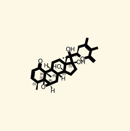 C=C1O[C@@H]([C@](C)(O)[C@]2(O)CC[C@@]3(O)[C@@H]4C[C@H]5O[C@]56[C@@H](C)C=CC(=O)[C@]6(C)[C@H]4CC[C@]23CC)CC(C)=C1C